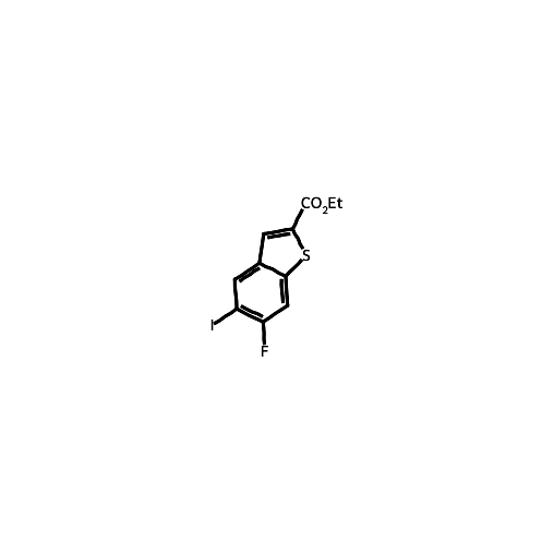 CCOC(=O)c1cc2cc(I)c(F)cc2s1